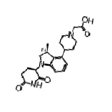 C[C@@H]1CN(C2CCC(=O)NC2=O)c2cccc(C3CCN(CC(=O)O)CC3)c21